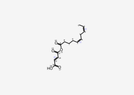 C/C=C\C/C=C\CCCC(=O)OC(=O)/C=C/C(=O)O